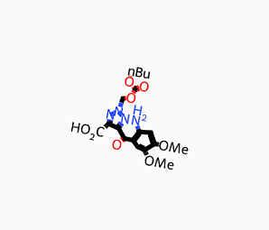 CCCCOC(=O)OCn1nc(C(=O)O)c(C(=O)c2cc(OC)c(OC)cc2N)n1